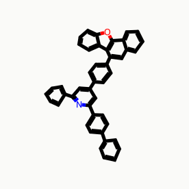 c1ccc(-c2ccc(-c3cc(-c4ccc(-c5cc6ccccc6c6oc7ccccc7c56)cc4)cc(-c4ccccc4)n3)cc2)cc1